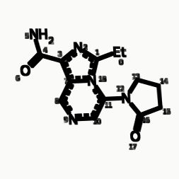 CCc1nc(C(N)=O)c2cncc(N3CCCC3=O)n12